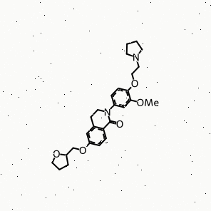 COc1cc(N2CCc3cc(OCC4CCCO4)ccc3C2=O)ccc1OCCN1CCCC1